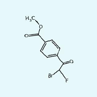 COC(=O)c1ccc(C(=O)C(F)Br)cc1